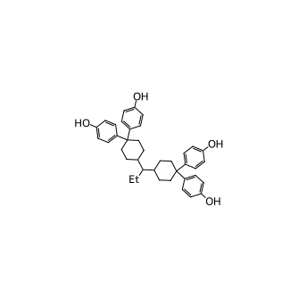 CCC(C1CCC(c2ccc(O)cc2)(c2ccc(O)cc2)CC1)C1CCC(c2ccc(O)cc2)(c2ccc(O)cc2)CC1